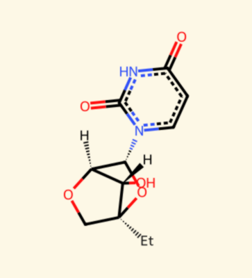 CC[C@@]12CO[C@@H]([C@H](n3ccc(=O)[nH]c3=O)O1)[C@@H]2O